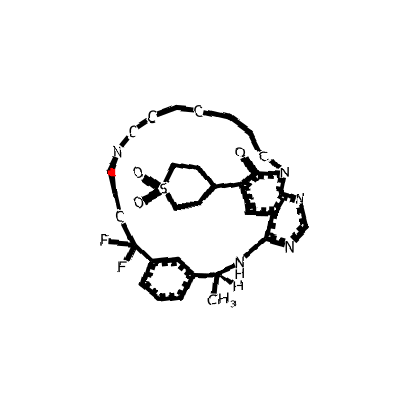 C[C@H]1Nc2ncnc3c2cc(C2CCS(=O)(=O)CC2)c(=O)n3CCCCCCCN2CC(C2)CC(F)(F)c2cccc1c2